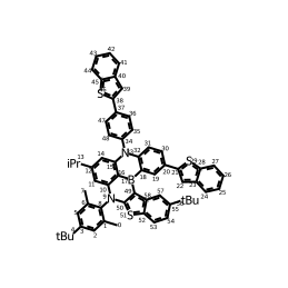 Cc1cc(C(C)(C)C)cc(C)c1N1c2cc(C(C)C)cc3c2B(c2cc(-c4cc5ccccc5s4)ccc2N3c2ccc(-c3cc4ccccc4s3)cc2)c2c1sc1ccc(C(C)(C)C)cc21